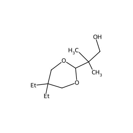 CCC1(CC)COC(C(C)(C)CO)OC1